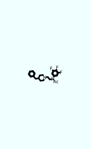 CC(=O)N(CCN1CCC(Cc2ccccc2)CC1)c1cc(F)c(F)c(F)c1